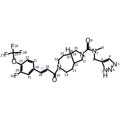 CN(Cc1cnn[nH]1)C(=O)N1CC2CCN(C(=O)/C=C/c3ccc(OC(F)(F)F)c(F)c3)CC[C@@H]2C1